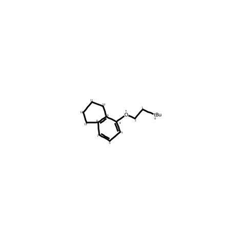 CC(C)(C)CCOc1cccc2c1CCCC2